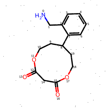 NCc1ccccc1C1CCOC(=O)CC(=O)OCC1